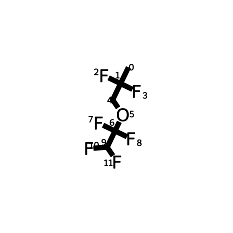 CC(F)(F)COC(F)(F)C(F)F